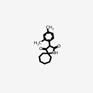 Cc1ccc(C2C(=O)NC3(CCCCCC3)C2=O)c(C)c1